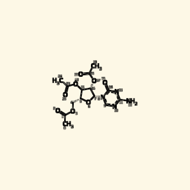 CC(=O)OC[C@H]1O[C@@H](n2cnc(N)nc2=O)[C@@H](OC(C)=O)C1OC(C)=O